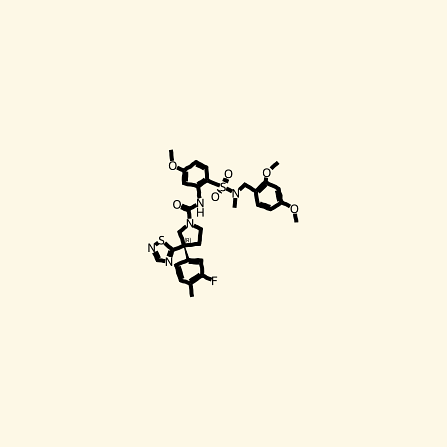 COc1ccc(S(=O)(=O)N(C)Cc2ccc(OC)cc2OC)c(NC(=O)N2CC[C@](c3ccc(C)c(F)c3)(c3ncns3)C2)c1